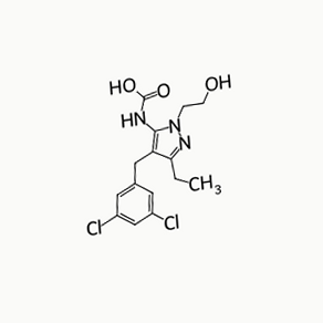 CCc1nn(CCO)c(NC(=O)O)c1Cc1cc(Cl)cc(Cl)c1